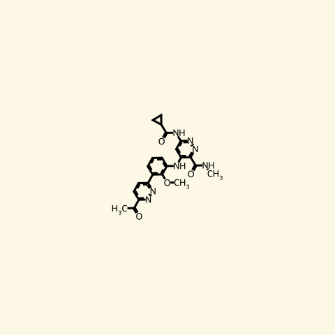 CNC(=O)c1nnc(NC(=O)C2CC2)cc1Nc1cccc(-c2ccc(C(C)=O)nn2)c1OC